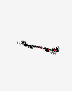 CC1(C)OCc2cc([C@@H]3CN(CCCCCCOCCCCc4cccc(CNC(=O)Nc5cccc(Cl)c5)c4)C(=O)O3)ccc2O1